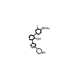 CC(=O)Nc1ccc(-c2cccc(-c3cc(N4CCNCC4)no3)c2O)cc1I